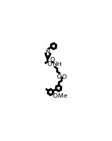 COc1ccc(C)cc1-c1cccc(CCC(=O)OCCCCNC(=O)OC(C)C2C3CN(Cc4ccccc4)CC32)c1